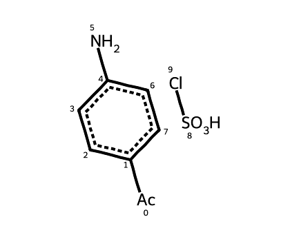 CC(=O)c1ccc(N)cc1.O=S(=O)(O)Cl